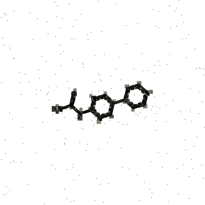 NC(=O)Nc1ncc(-c2ccncc2)cn1